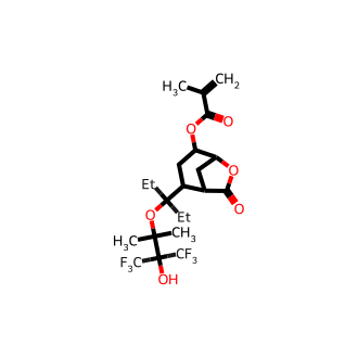 C=C(C)C(=O)OC1CC(C(CC)(CC)OC(C)(C)C(O)(C(F)(F)F)C(F)(F)F)C2CC1OC2=O